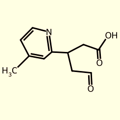 Cc1ccnc(C(CC=O)CC(=O)O)c1